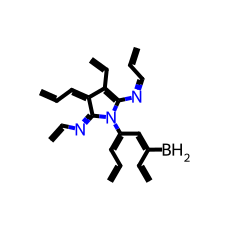 B/C(C=C)=C/C(=C\C=C)N1C(/N=C\C=C)=C(C=C)C(=C/C=C)/C1=N\C=C